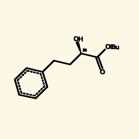 CC(C)COC(=O)[C@H](O)CCc1ccccc1